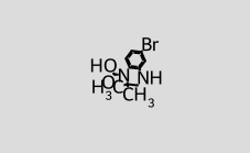 CC1(C)CNc2cc(Br)ccc2N1C(=O)O